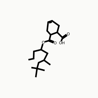 CCCC(CC(C)CC(C)(C)C)OC(=O)C1CC=CCC1C(=O)O